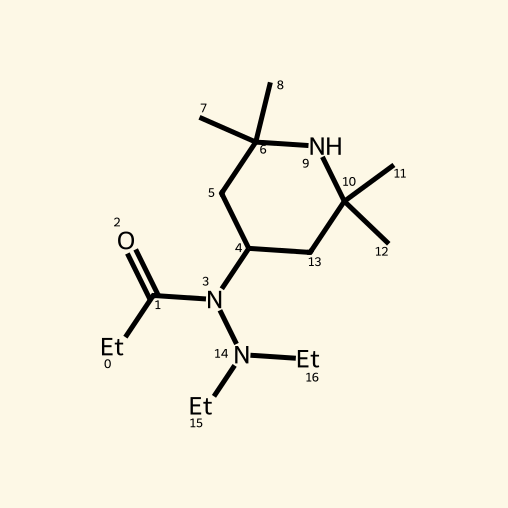 CCC(=O)N(C1CC(C)(C)NC(C)(C)C1)N(CC)CC